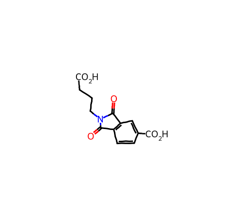 O=C(O)CCCN1C(=O)c2ccc(C(=O)O)cc2C1=O